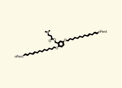 CCCCCC=CCC=CCCCCCCCCOc1ccc(OCCCCCCCCC=CCC=CCCCCC)c(COC(=O)CCN(C)C)c1